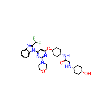 O=C(CN[C@H]1CC[C@H](O)CC1)N[C@H]1CC[C@H](Oc2cc(-n3c(C(F)F)nc4ccccc43)nc(N3CCOCC3)n2)CC1